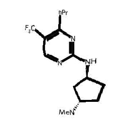 CCCc1nc(N[C@H]2CC[C@H](NC)C2)ncc1C(F)(F)F